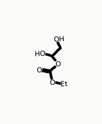 CCOC(=O)OC(O)CO